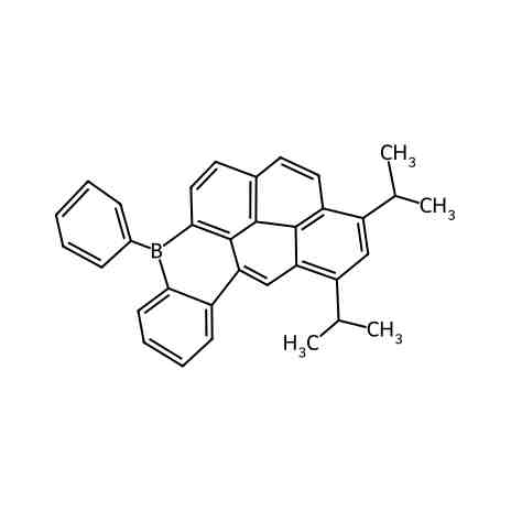 CC(C)c1cc(C(C)C)c2cc3c4c(ccc5ccc1c2c54)B(c1ccccc1)c1ccccc1-3